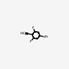 C#Cc1c(F)cc(CCC)cc1F